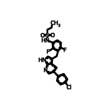 CCCS(=O)(=O)Nc1ccc(F)c(Cc2c[nH]c3ncc(-c4ccc(Cl)cc4)cc23)c1F